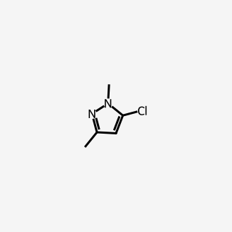 Cc1cc(Cl)n(C)n1